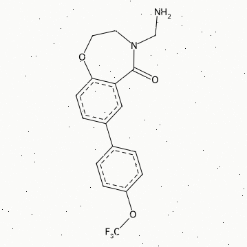 NCN1CCOc2ccc(-c3ccc(OC(F)(F)F)cc3)cc2C1=O